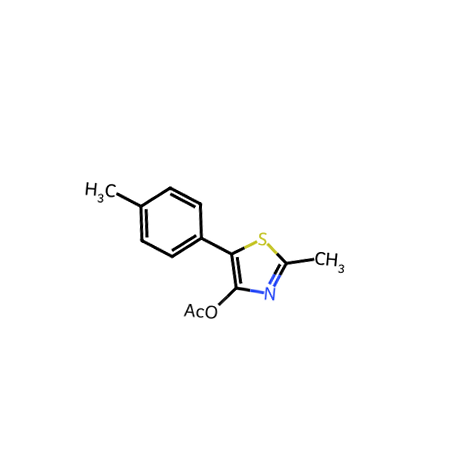 CC(=O)Oc1nc(C)sc1-c1ccc(C)cc1